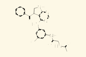 CC(=O)NCC(=O)Nc1cc(Cl)cc(Nc2ncnc3c2C(C(=O)c2ccccc2)CN3)c1